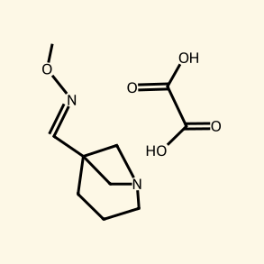 CON=CC12CCCN(C1)C2.O=C(O)C(=O)O